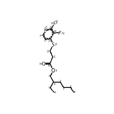 CCCCC(CC)COC(=O)CCSc1ccnc(Cl)c1F